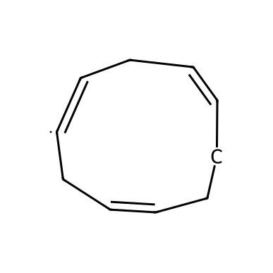 [C]1=CCC=CCCC=CC1